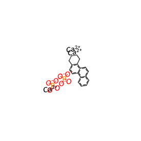 O=P([O-])([O-])[O-].O=P([O-])([O-])[O-].[Ca+2].[Ca+2].[Ca+2].c1ccc2c(c1)ccc1c3c(ccc12)CCCC3